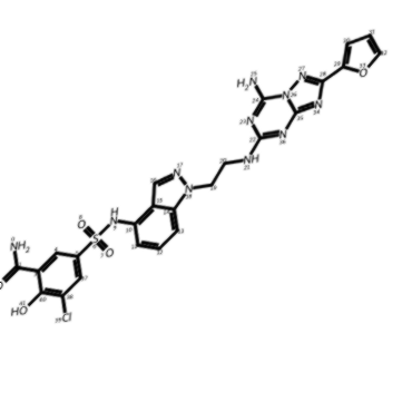 NC(=O)c1cc(S(=O)(=O)Nc2cccc3c2cnn3CCNc2nc(N)n3nc(-c4ccco4)nc3n2)cc(Cl)c1O